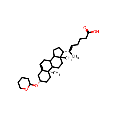 C/C(=C\CCCC(=O)O)[C@H]1CCC2C3CC=C4C[C@@H](OC5CCCCO5)CC[C@]4(C)C3CCC21C